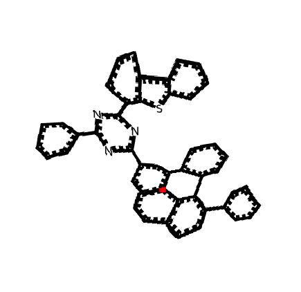 c1ccc(-c2nc(-c3cccc(-c4ccccc4-c4c(-c5ccccc5)ccc5ccccc45)c3)nc(-c3cccc4c3sc3ccccc34)n2)cc1